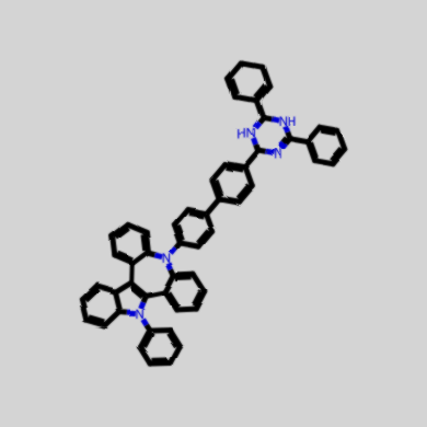 C1=CC2C3=C(c4ccccc4N(c4ccc(-c5ccc(C6N=C(c7ccccc7)NC(C7=CCCC=C7)N6)cc5)cc4)c4ccccc43)N(c3ccccc3)C2C=C1